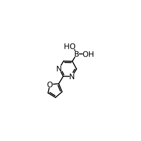 OB(O)c1cnc(-c2ccco2)nc1